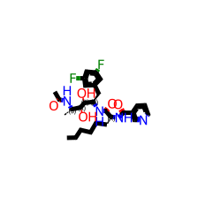 CCCCCC[C@@H](NC(=O)c1cccnc1)C(=O)N[C@H](Cc1cc(F)cc(F)c1)[C@@H](O)[C@H](O)[C@H](C)NC(C)=O